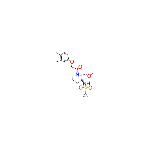 COCC1[C@@H](NS(=O)(=O)C2CC2)CCCN1C(=O)COc1ccc(C)c(C)c1C